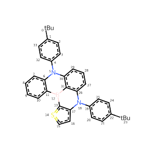 CC(C)(C)c1ccc(N2c3ccccc3B3c4sccc4N(c4ccc(C(C)(C)C)cc4)c4cccc2c43)cc1